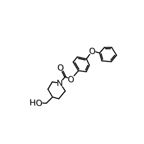 O=C(Oc1ccc(Oc2ccccc2)cc1)N1CCC(CO)CC1